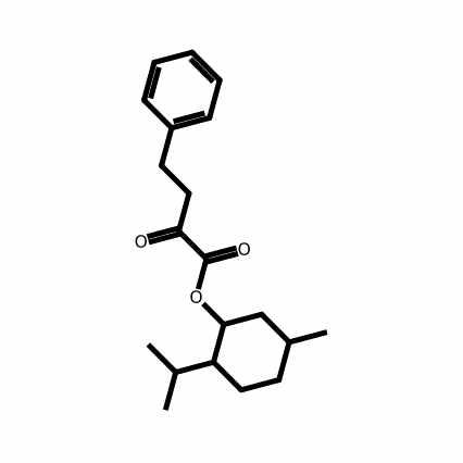 CC1CCC(C(C)C)C(OC(=O)C(=O)CCc2ccccc2)C1